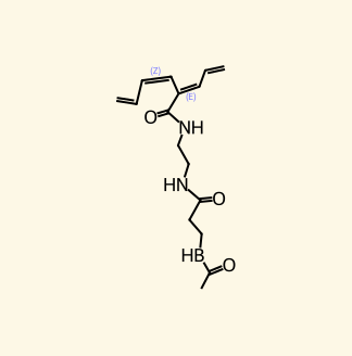 C=C/C=C\C(=C/C=C)C(=O)NCCNC(=O)CCBC(C)=O